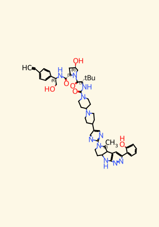 C#Cc1ccc([C@H](CO)NC(=O)[C@@H]2C[C@@H](O)CN2C(=O)[C@@H](NC(=O)N2CCC(N3CCC(c4cnc(N5CCC6Nc7nnc(-c8ccccc8O)cc7C6[C@H]5C)nc4)CC3)CC2)C(C)(C)C)cc1